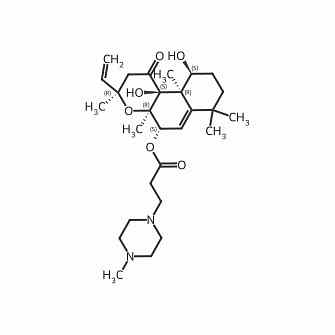 C=C[C@@]1(C)CC(=O)[C@@]2(O)[C@](C)(O1)[C@@H](OC(=O)CCN1CCN(C)CC1)C=C1C(C)(C)CC[C@H](O)[C@@]12C